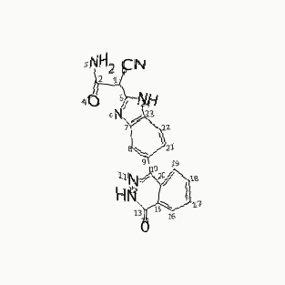 N#CC(C(N)=O)c1nc2cc(-c3n[nH]c(=O)c4ccccc34)ccc2[nH]1